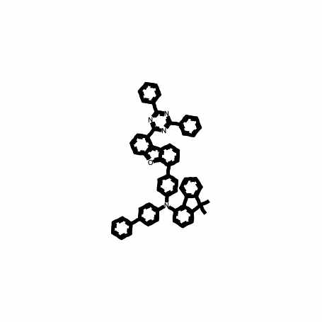 CC1(C)c2ccccc2-c2c(N(c3ccc(-c4ccccc4)cc3)c3ccc(-c4cccc5c4oc4cccc(-c6nc(-c7ccccc7)nc(-c7ccccc7)n6)c45)cc3)cccc21